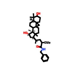 COC(C[C@@H](C)[C@H]1C[C@H](O)[C@@]2(C)C3CC[C@H]4C(C)(C)C(O)CCC45CC35CCC12C)C(=O)NCc1ccccc1